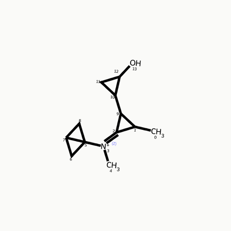 CC1/C(=[N+](\C)C23CC2C3)C1C1CC1O